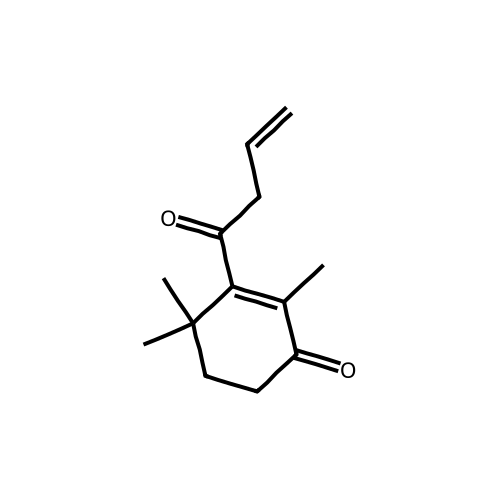 C=CCC(=O)C1=C(C)C(=O)CCC1(C)C